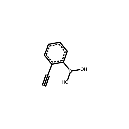 C#Cc1ccccc1B(O)O